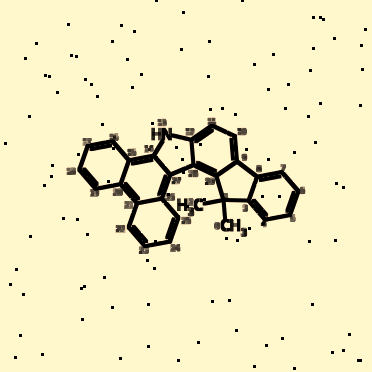 CC1(C)c2ccccc2-c2ccc3[nH]c4c5ccccc5c5ccccc5c4c3c21